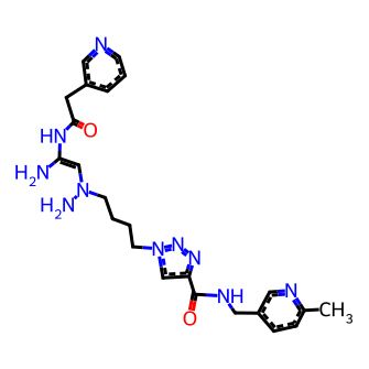 Cc1ccc(CNC(=O)c2cn(CCCCN(N)/C=C(\N)NC(=O)Cc3cccnc3)nn2)cn1